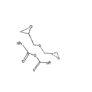 C(OCC1CO1)C1CO1.CCCC(=O)OC(=O)CCC